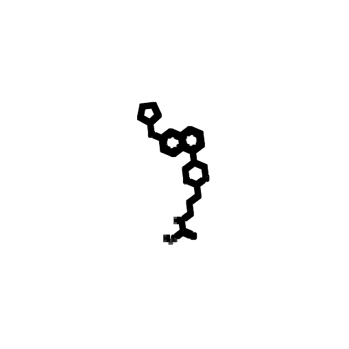 CC(=O)NCCCC1OCC(c2cccc3cc(OC4CCCC4)ccc23)CO1